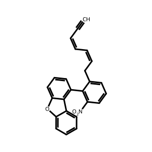 C#C/C=C\C=C/Cc1cccc([N+](=O)[O-])c1-c1cccc2oc3ccccc3c12